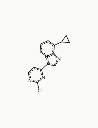 Clc1nccc(-c2cnc3c(C4CC4)cccn23)n1